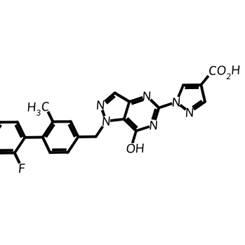 Cc1cc(Cn2ncc3nc(-n4cc(C(=O)O)cn4)nc(O)c32)ccc1-c1ccccc1F